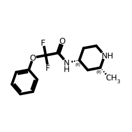 C[C@@H]1C[C@H](NC(=O)C(F)(F)Oc2ccccc2)CCN1